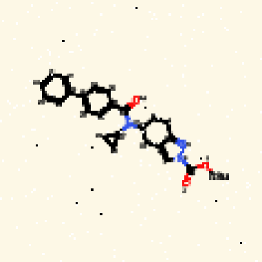 CC(C)(C)OC(=O)n1cc2c(n1)CCC(N(C(=O)c1ccc(-c3ccccc3)cc1)C1CC1)C2